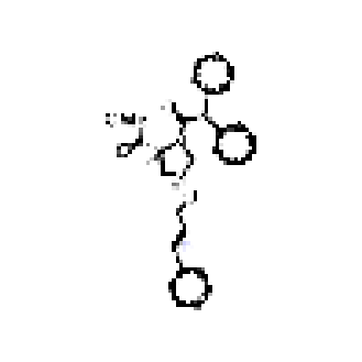 COC(=O)[C@H]1C[C@@H](OC/C=C/c2ccccc2)CN1C(=O)C(c1ccccc1)c1ccccc1